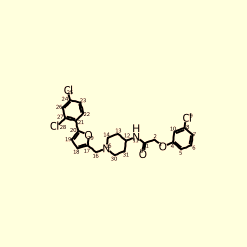 O=C(COc1cccc(Cl)c1)NC1CCN(Cc2ccc(-c3ccc(Cl)cc3Cl)o2)CC1